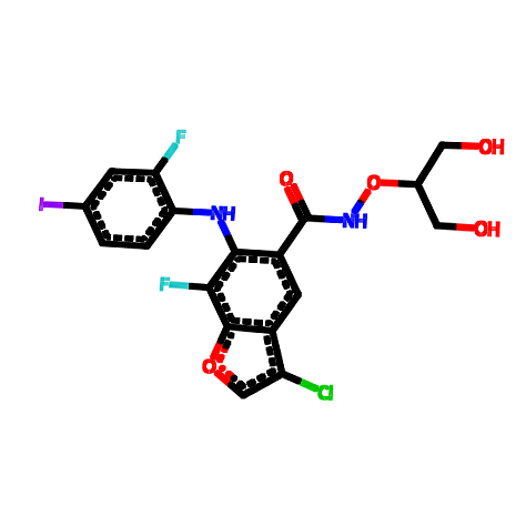 O=C(NOC(CO)CO)c1cc2c(Cl)coc2c(F)c1Nc1ccc(I)cc1F